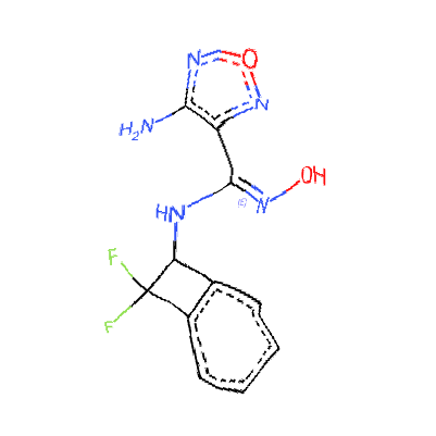 Nc1nonc1/C(=N\O)NC1c2ccccc2C1(F)F